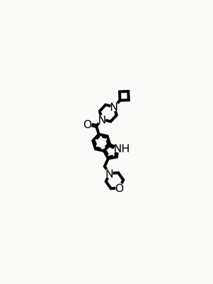 O=C(c1ccc2c(CN3CCOCC3)c[nH]c2c1)N1CCN(C2CCC2)CC1